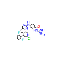 N=C(N)NC(=O)c1ccc(Nc2ncc3c(n2)C2=CN=C(Cl)C=C(c4c(F)cccc4F)C2=CC3)cc1